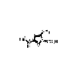 Cc1cc(NC(C)(C)C)nn1C(=O)O